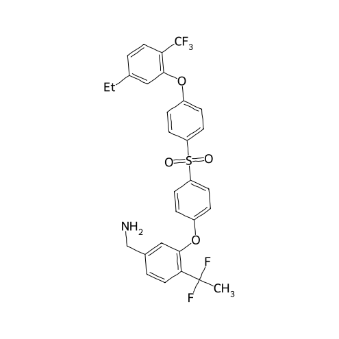 CCc1ccc(C(F)(F)F)c(Oc2ccc(S(=O)(=O)c3ccc(Oc4cc(CN)ccc4C(C)(F)F)cc3)cc2)c1